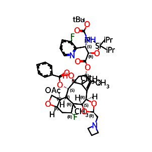 CC(=O)O[C@@]12CO[C@@H]1C[C@@H](F)[C@@]1(C)[C@@H]3O[C@H](CN4CCC4)O[C@@H]3C3=C(C)[C@@H](OC(=O)[C@H](O[Si](C(C)C)(C(C)C)C(C)C)[C@@H](NC(=O)OC(C)(C)C)c4ncccc4F)C[C@@](O)([C@@H](OC(=O)c4ccccc4)[C@H]21)C3(C)C